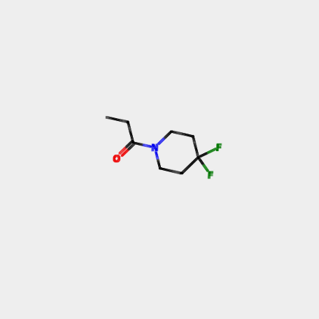 CCC(=O)N1CCC(F)(F)CC1